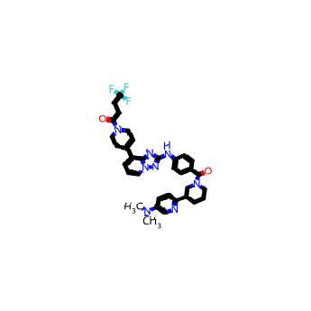 CN(C)c1ccc(C2CCCN(C(=O)c3ccc(Nc4nc5c(C6=CCN(C(=O)CCC(F)(F)F)CC6)cccn5n4)cc3)C2)nc1